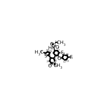 CCS(=O)(=O)Nc1ccc(Oc2ccc(F)cc2F)c(-c2cn(C)c(=O)cc2-c2ccc(C)s2)c1